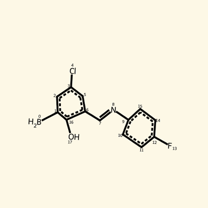 Bc1cc(Cl)cc(/C=N/c2ccc(F)cc2)c1O